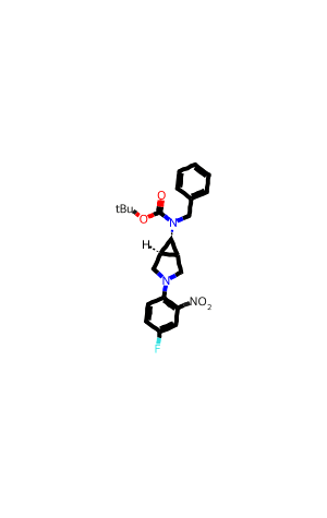 CC(C)(C)OC(=O)N(Cc1ccccc1)[C@@H]1C2CN(c3ccc(F)cc3[N+](=O)[O-])C[C@H]21